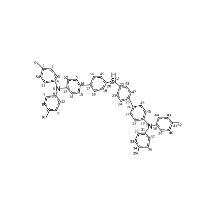 Cc1ccc(N(c2ccc(C)cc2)c2ccc(-c3ccc([SiH2]c4ccc(-c5ccc(N(c6ccc(C)cc6)c6ccc(C)cc6)cc5)cc4)cc3)cc2)cc1